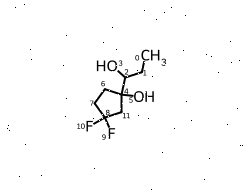 CCC(O)C1(O)CCC(F)(F)C1